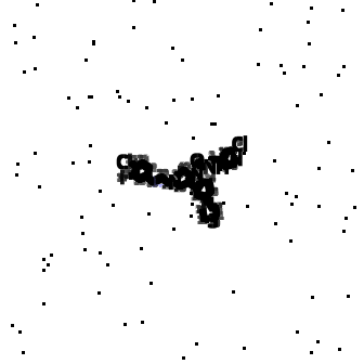 O=C(NCc1ccnc(Cl)c1)n1c2c(c3cc(N4CCSCC4)ccc31)CN(C/C=C/c1ccc(Cl)c(F)c1)CC2